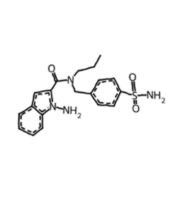 CCCN(Cc1ccc(S(N)(=O)=O)cc1)C(=O)c1cc2ccccc2n1N